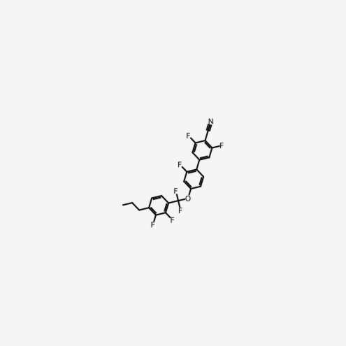 CCCc1ccc(C(F)(F)Oc2ccc(-c3cc(F)c(C#N)c(F)c3)c(F)c2)c(F)c1F